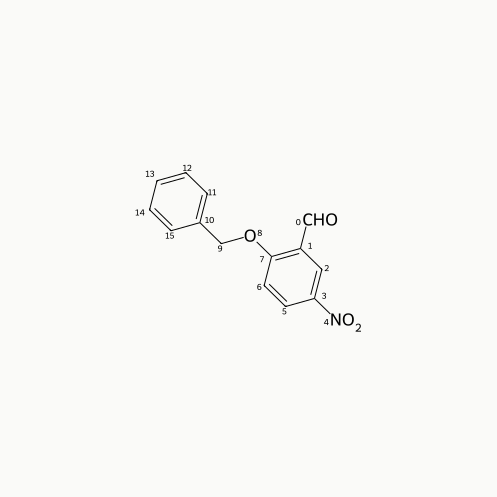 O=Cc1cc([N+](=O)[O-])ccc1OCc1ccccc1